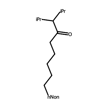 CCCCCCCCCCCCCCC(=O)C(C(C)C)C(C)C